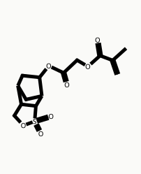 C=C(C)C(=O)OCC(=O)OC1CC2CC1C1C2COS1(=O)=O